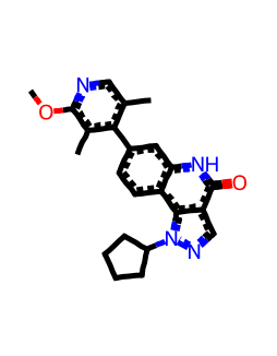 COc1ncc(C)c(-c2ccc3c(c2)[nH]c(=O)c2cnn(C4CCCC4)c23)c1C